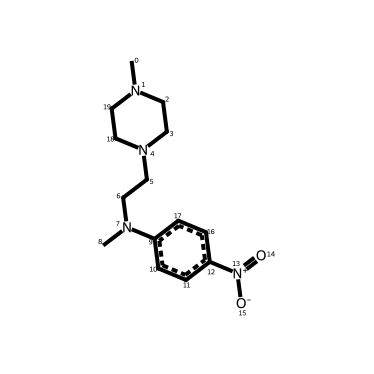 CN1CCN(CCN(C)c2ccc([N+](=O)[O-])cc2)CC1